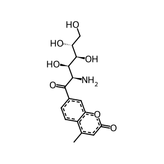 Cc1cc(=O)oc2cc(C(=O)[C@H](N)[C@@H](O)[C@H](O)[C@H](O)CO)ccc12